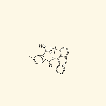 CC1=CC2CC1C(C(=O)O)C2C(=O)Oc1c2ccccc2cc2cccc(C(C)(C)C)c12